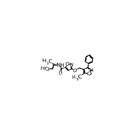 Cc1onc(-c2ccccc2)c1COc1cc(C(=O)N[C@H](C)CO)on1